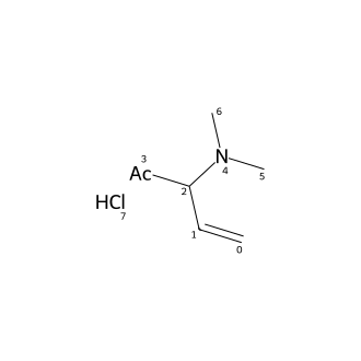 C=CC(C(C)=O)N(C)C.Cl